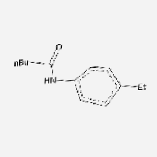 CC[CH]CC(=O)Nc1ccc(CC)cc1